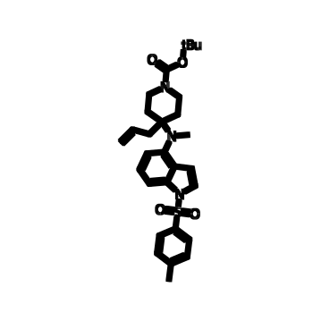 C=CCC1(N(C)c2cccc3c2ccn3S(=O)(=O)c2ccc(C)cc2)CCN(C(=O)OC(C)(C)C)CC1